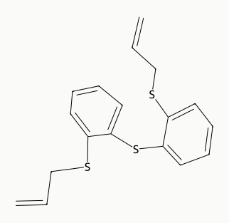 C=CCSc1ccccc1Sc1ccccc1SCC=C